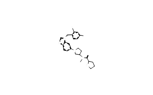 C[C@H](c1ccc(Cl)cc1Cl)n1cnc2ccc(N3CCC(N(C)C(=O)C4CCCN4)C3)cc21